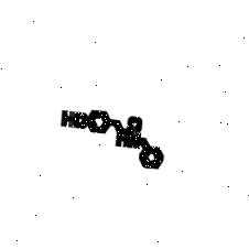 O=C(CCC1C=CC(O)=CC1)NCc1ccccc1